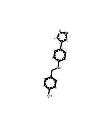 Oc1ccc(CNc2ccc(-c3nn[nH]n3)cc2)cc1